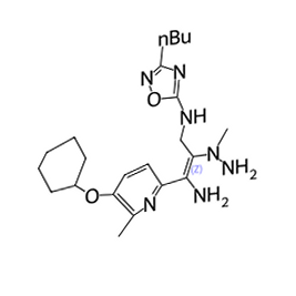 CCCCc1noc(NC/C(=C(/N)c2ccc(OC3CCCCC3)c(C)n2)N(C)N)n1